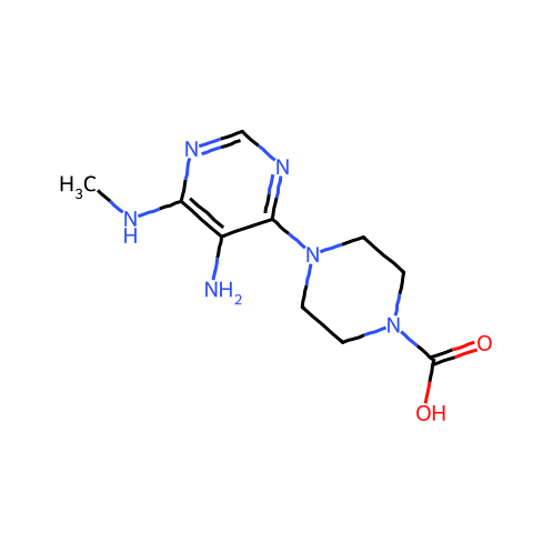 CNc1ncnc(N2CCN(C(=O)O)CC2)c1N